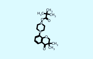 CC(C)(C)C(=O)ON1CCN(c2cccc3c2OCC(C)(C)C3=O)CC1